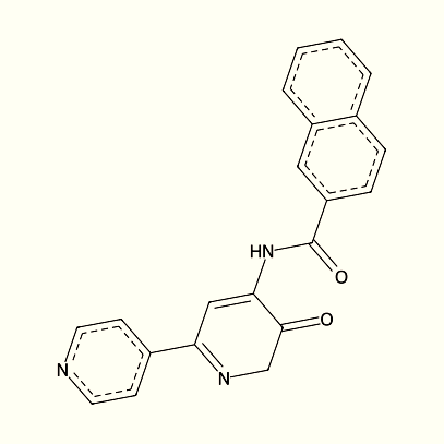 O=C1CN=C(c2ccncc2)C=C1NC(=O)c1ccc2ccccc2c1